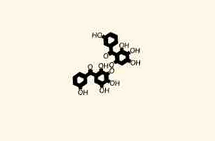 O=C(c1cccc(O)c1)c1cc(O)c(O)c(OOc2cc(O)c(O)c(O)c2C(=O)c2cccc(O)c2)c1O